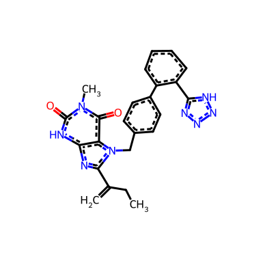 C=C(CC)c1nc2[nH]c(=O)n(C)c(=O)c2n1Cc1ccc(-c2ccccc2-c2nnn[nH]2)cc1